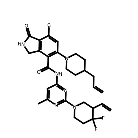 C=CCC1CCN(c2cc(Cl)c3c(c2C(=O)Nc2cc(C)nc(N4CCC(F)(F)C(C=C)C4)n2)CNC3=O)CC1